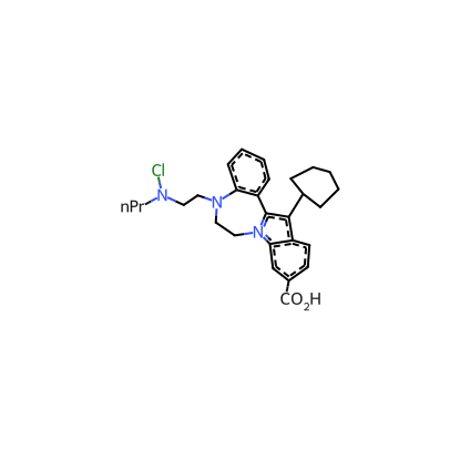 CCCN(Cl)CCN1CCn2c(c(C3CCCCC3)c3ccc(C(=O)O)cc32)-c2ccccc21